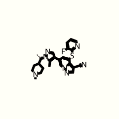 Cc1c(-c2cc(Sc3ncccc3F)c3c(C#N)cnn3c2)cnn1[C@@H](C)C1CCN(C)CC1